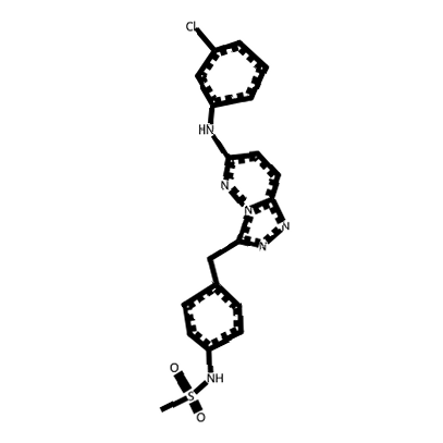 CS(=O)(=O)Nc1ccc(Cc2nnc3ccc(Nc4cccc(Cl)c4)nn23)cc1